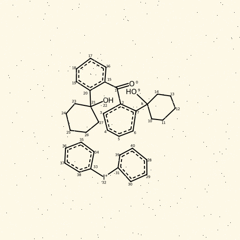 O=C(c1ccccc1C1(O)CCCCC1)c1ccccc1C1(O)CCCCC1.c1ccc([I+]c2ccccc2)cc1